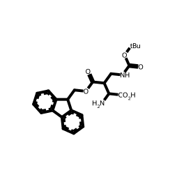 CC(C)(C)OC(=O)NCC(C(=O)OCC1c2ccccc2-c2ccccc21)C(N)C(=O)O